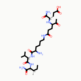 CC[C@H](C)[C@H](NC(=O)[C@@H](NC(=O)C(N)CCCCNC(=O)CCC(N[C@@H](CCC(=O)O)C(N)=O)C(C)=O)C(C)C)C(N)=O